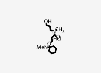 CNC1(OCCC(=O)N(C)CCCO)CCCCC1.Cl